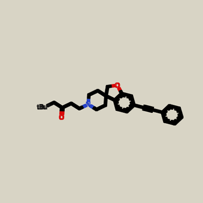 CC(C)(C)CC(=O)CCN1CCC2(CC1)COc1cc(C#Cc3ccccc3)ccc12